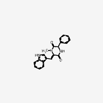 CN1C(=O)C(c2ccccc2)NC(=O)C1=Cc1c[nH]c2ccccc12